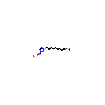 CCCCCCCCCCN1C=CN(CCO)C1